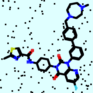 Cc1nc(C(=O)NC2CCC(n3c(=O)c4cc(F)cnc4n(-c4cccc(-c5ccc(CN6CCCN(C)CC6)cc5)c4)c3=O)CC2)cs1